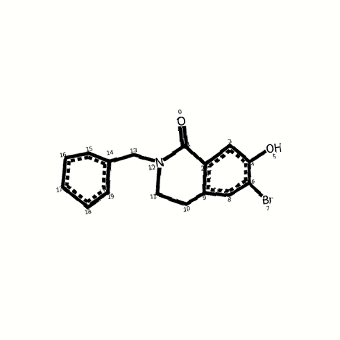 O=C1c2cc(O)c(Br)cc2CCN1Cc1ccccc1